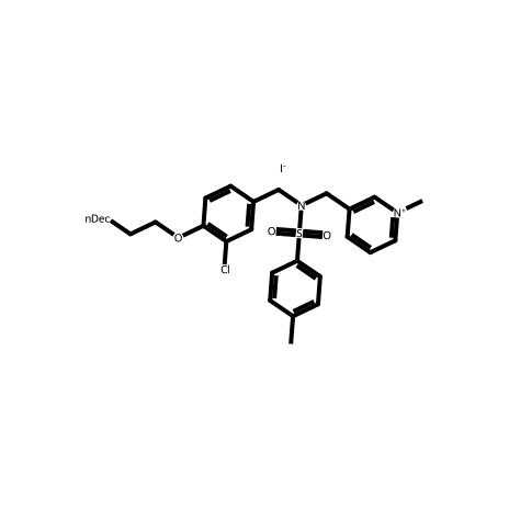 CCCCCCCCCCCCOc1ccc(CN(Cc2ccc[n+](C)c2)S(=O)(=O)c2ccc(C)cc2)cc1Cl.[I-]